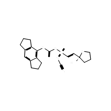 C[C@]1(/C=C/S(=O)(=NC#N)NC(=O)Nc2c3c(cc4c2CCC4)CCC3)CCCN1